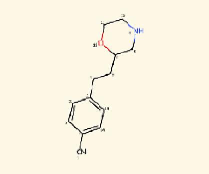 N#Cc1ccc(CCC2CNCCO2)cc1